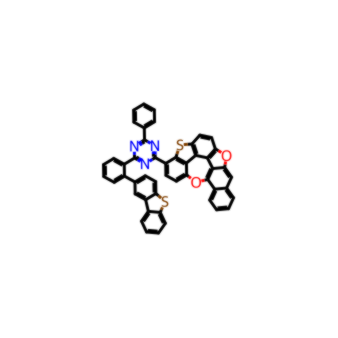 c1ccc(-c2nc(-c3ccccc3-c3ccc4sc5ccccc5c4c3)nc(-c3ccc4oc5c6ccccc6cc6oc7ccc8sc3c4c8c7c65)n2)cc1